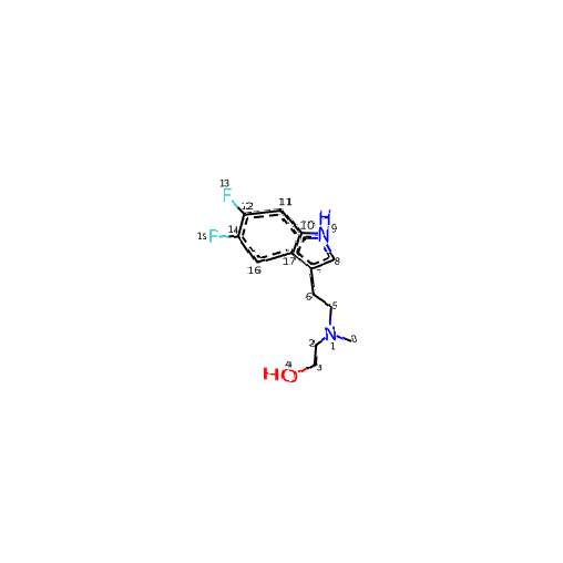 CN(CCO)CCc1c[nH]c2cc(F)c(F)cc12